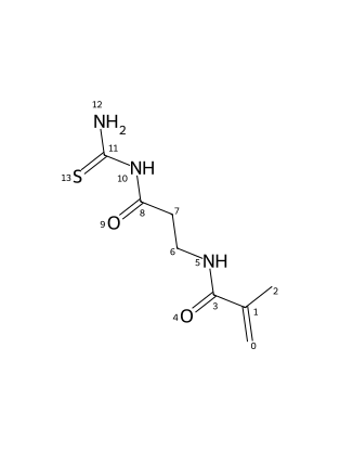 C=C(C)C(=O)NCCC(=O)NC(N)=S